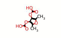 Cc1oc(C)c(OC(=O)O)c1OC(=O)O